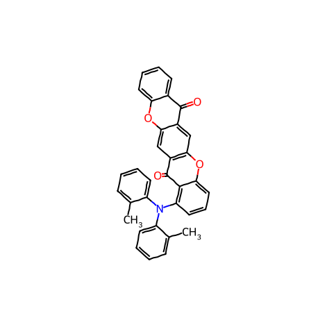 Cc1ccccc1N(c1ccccc1C)c1cccc2oc3cc4c(=O)c5ccccc5oc4cc3c(=O)c12